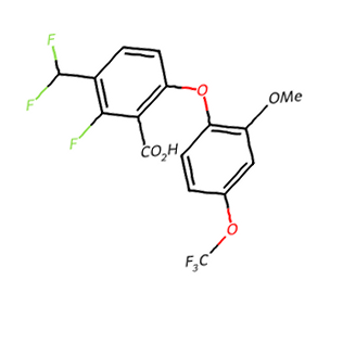 COc1cc(OC(F)(F)F)ccc1Oc1ccc(C(F)F)c(F)c1C(=O)O